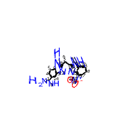 N=C(N)c1ccc2[nH]c(Cc3nc4c([N+](=O)[O-])cccc4[nH]3)nc2c1